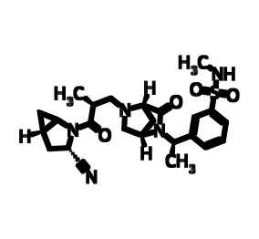 CNS(=O)(=O)c1cccc([C@@H](C)N2C(=O)[C@@H]3C[C@H]2CN3C[C@H](C)C(=O)N2C3C[C@H]3C[C@H]2C#N)c1